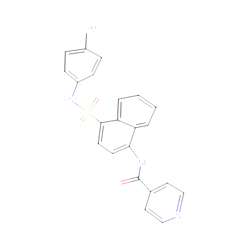 COc1ccc(NS(=O)(=O)c2ccc(NC(=O)c3ccncc3)c3ccccc23)cc1